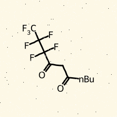 CCCCC(=O)CC(=O)C(F)(F)C(F)(F)C(F)(F)F